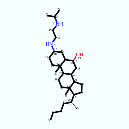 CCCC[C@@H](C)C1CCC2C3C[C@H](O)C4C[C@H](NCCNC(C)C)CCC4(C)C3CCC21C